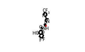 O=C(NC12CC(n3cc(-c4ccc(C(F)(F)F)cn4)cn3)(C1)C2)[C@H]1C[C@@H](O)c2cc(F)c(F)cc2O1